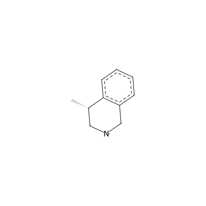 C[C@H]1C[N]Cc2ccccc21